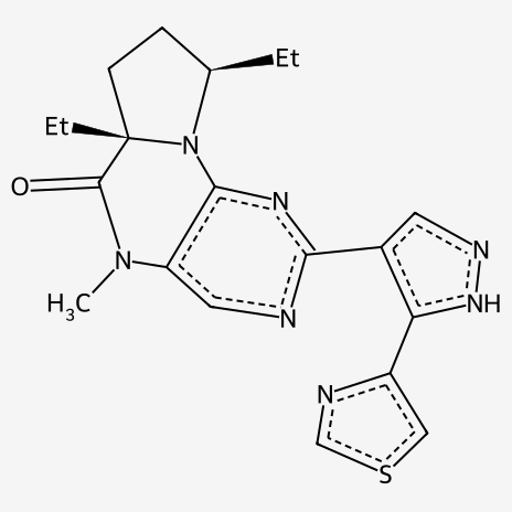 CC[C@@H]1CC[C@@]2(CC)C(=O)N(C)c3cnc(-c4cn[nH]c4-c4cscn4)nc3N12